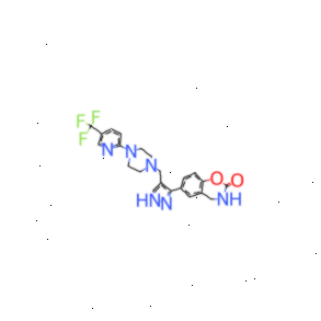 O=C1NCc2cc(-c3n[nH]cc3CN3CCN(c4ccc(C(F)(F)F)cn4)CC3)ccc2O1